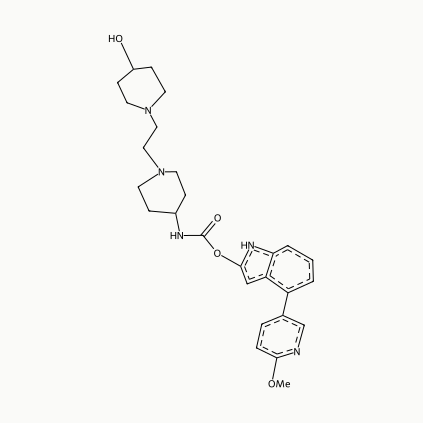 COc1ccc(-c2cccc3[nH]c(OC(=O)NC4CCN(CCN5CCC(O)CC5)CC4)cc23)cn1